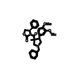 COc1ccc(C2CN(Cc3ccccc3)CC2(C)C(=O)N2C(=O)OC[C@H]2c2ccccc2)cc1OC(C)(C)C